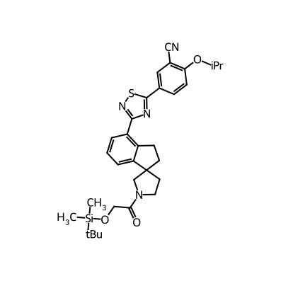 CC(C)Oc1ccc(-c2nc(-c3cccc4c3CCC43CCN(C(=O)CO[Si](C)(C)C(C)(C)C)C3)ns2)cc1C#N